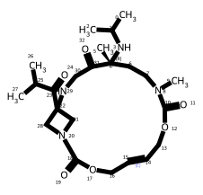 CC(C)N[C@]1(C)CCN(C)C(=O)OC/C=C/COC(=O)N2CC(C(=O)C(C)C)(C2)NCC1=O